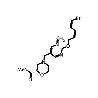 C=N/C=C(\C=N/COC/C=C\C=C/CC)CN1CCO[C@H](C(=O)NC)C1